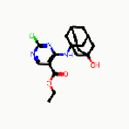 CCOC(=O)c1cnc(Cl)nc1NC12CC3CC(CC(O)(C3)C1)C2